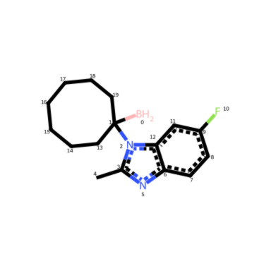 BC1(n2c(C)nc3ccc(F)cc32)CCCCCCC1